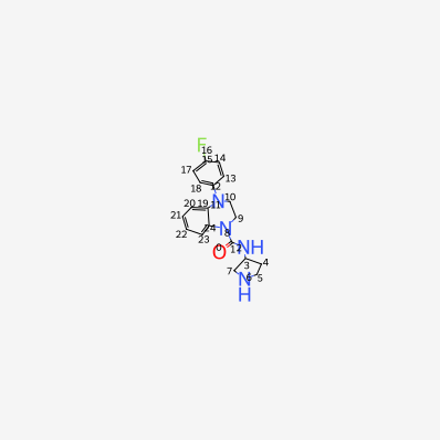 O=C(NC1CCNC1)N1CCN(c2ccc(F)cc2)c2ccccc21